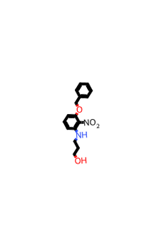 O=[N+]([O-])c1c(NCCCO)cccc1OCc1ccccc1